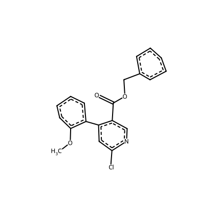 COc1ccccc1-c1cc(Cl)ncc1C(=O)OCc1ccccc1